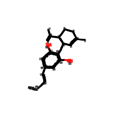 C=C(C)C1CCC(C)=CC1c1c(O)cc(/C=C/CCCCCC)cc1O